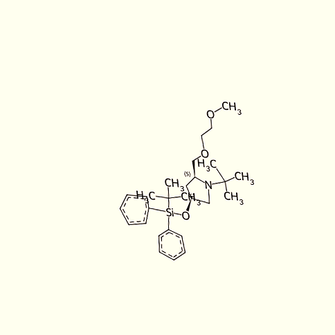 COCCOC[C@@H]1C[C@H](O[Si](c2ccccc2)(c2ccccc2)C(C)(C)C)CN1C(C)(C)C